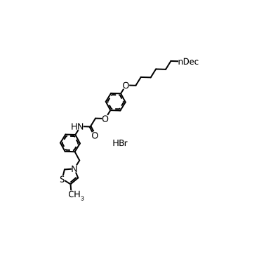 Br.CCCCCCCCCCCCCCCCOc1ccc(OCC(=O)Nc2cccc(CN3C=C(C)SC3)c2)cc1